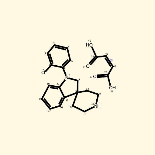 Clc1ccccc1N1CC2(CCNCC2)c2ccccc21.O=C(O)/C=C\C(=O)O